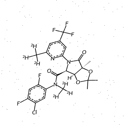 [2H]C([2H])([2H])c1cc(C(F)(F)F)cc(N2C(=O)[C@@]3(C)OC(C)(C)O[C@H]3[C@H]2C(=O)N(c2cc(Cl)c(F)cc2F)C([2H])([2H])[2H])n1